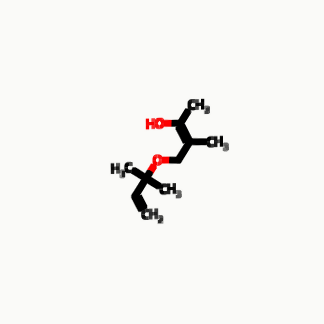 C=CC(C)(C)OCC(C)=C(C)O